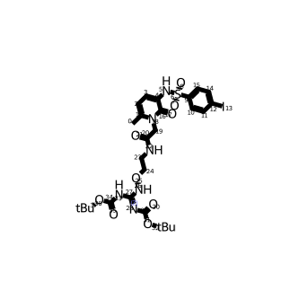 Cc1ccc(NS(=O)(=O)c2ccc(I)cc2)c(=O)n1CC(=O)NCCON/C(=N\C(=O)OC(C)(C)C)NC(=O)OC(C)(C)C